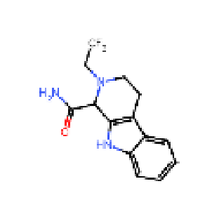 NC(=O)C1c2[nH]c3cc[c]cc3c2CCN1CC(F)(F)F